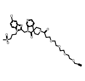 C#CCOCCOCCOCCOCCC(=O)N1CCC2(CC1)C(=O)N(Cc1nc3cc(Cl)ccc3n1CCCS(C)(=O)=O)c1cnccc12